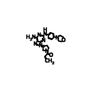 C=CC(=O)N1CC[C@H](n2cnc3c(N)nc(Nc4ccc(N5CCOCC5)cc4)nc32)C1